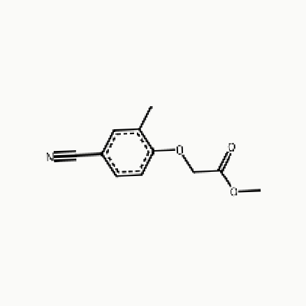 COC(=O)COc1ccc(C#N)cc1C